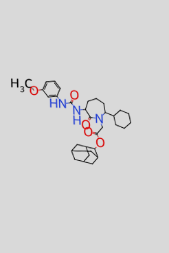 COc1cccc(NC(=O)NC2CCCC(C3CCCCC3)N(CC(=O)OC3C4CC5CC(C4)CC3C5)C2=O)c1